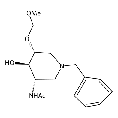 COCO[C@@H]1CN(Cc2ccccc2)C[C@H](NC(C)=O)[C@H]1O